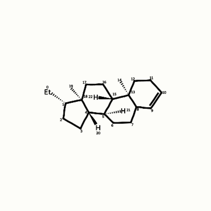 CC[C@H]1CC[C@H]2[C@@H]3CCC4C=CCC[C@]4(C)[C@H]3CC[C@]12C